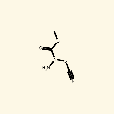 COC(=O)N(N)SC#N